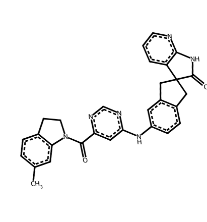 Cc1ccc2c(c1)N(C(=O)c1cc(Nc3ccc4c(c3)CC3(C4)C(=O)Nc4ncccc43)ncn1)CC2